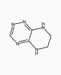 c1nnc2c(n1)NCCN2